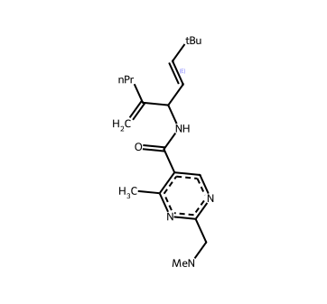 C=C(CCC)C(/C=C/C(C)(C)C)NC(=O)c1cnc(CNC)nc1C